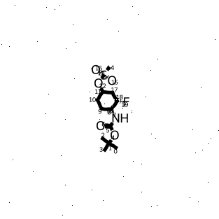 CC(C)(C)OC(=O)N[C@@H]1CCC(OS(C)(=O)=O)C[C@@H]1F